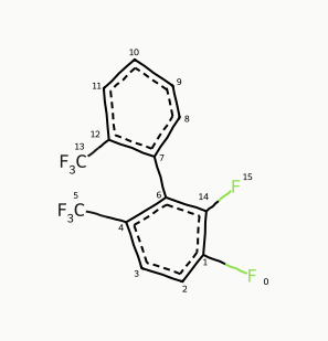 Fc1ccc(C(F)(F)F)c(-c2ccccc2C(F)(F)F)c1F